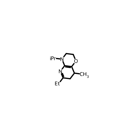 CCC1=NC2=C(OCCN2C(C)C)C(C)C1